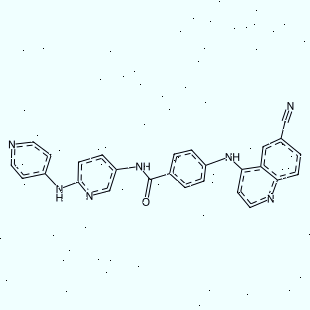 N#Cc1ccc2nccc(Nc3ccc(C(=O)Nc4ccc(Nc5ccncc5)nc4)cc3)c2c1